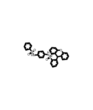 O=S(=O)(Nc1ccc(NS(=O)(=O)c2ccccc2C2c3ccccc3Oc3ccccc32)cc1)c1ccccc1